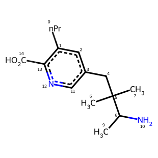 CCCc1cc(CC(C)(C)C(C)N)cnc1C(=O)O